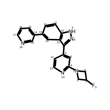 FC1CN(c2cc(-c3n[nH]c4ccc(-c5cccnc5)cc34)ccn2)C1